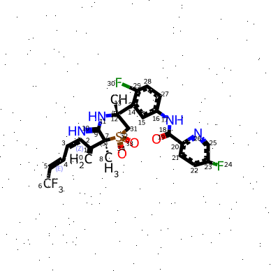 C=C(/C=C\C=C\C(F)(F)F)[C@@]1(C)C(=N)N[C@](C)(c2cc(NC(=O)c3ccc(F)cn3)ccc2F)CS1(=O)=O